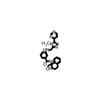 Cn1c(CNc2cccc(C(=O)NC3(CO)CCCc4ccccc43)c2)nnc1-c1ccncn1